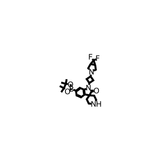 CC1(C)OB(c2ccc3c(c2)N(C2CC(N4CC5C(C4)C5(F)F)C2)C(=O)C32CCNCC2)OC1(C)C